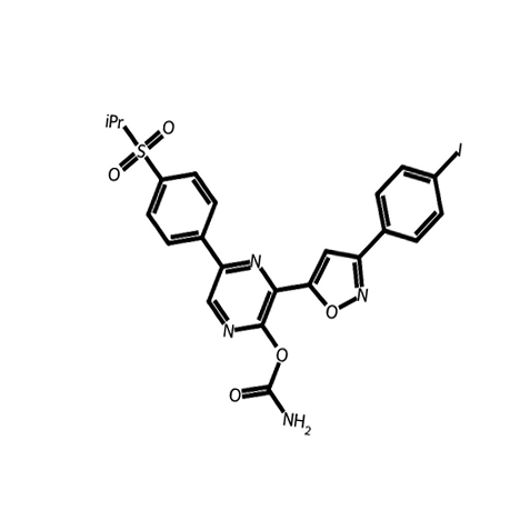 CC(C)S(=O)(=O)c1ccc(-c2cnc(OC(N)=O)c(-c3cc(-c4ccc(I)cc4)no3)n2)cc1